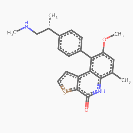 CNC[C@H](C)c1ccc(-c2c(OC)cc(C)c3[nH]c(=O)c4sccc4c23)cc1